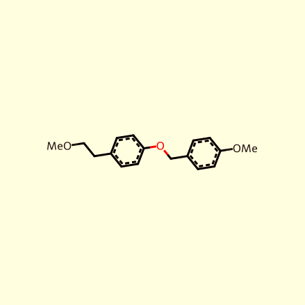 COCCc1ccc(OCc2ccc(OC)cc2)cc1